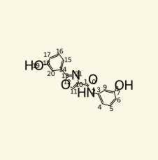 O=C(Nc1cccc(O)c1)c1coc(-c2cccc(O)c2)n1